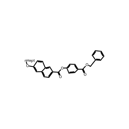 CCCCCCCOc1ccc2cc(C(=O)Oc3ccc(C(=O)OCc4ccccc4)cc3)ccc2c1